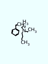 C=Cc1ccccc1.CCCCN(CC)CC